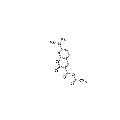 CCN(CC)c1ccc2cc(C(=O)OC(=O)C(F)(F)F)c(=O)oc2c1